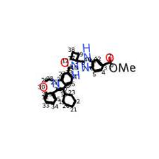 COC(=O)c1ccc2nc(C3(NC(=O)c4ccc5c(C6CCCCC6)c6n(c5c4)CCOc4ccccc4-6)CCC3)[nH]c2c1